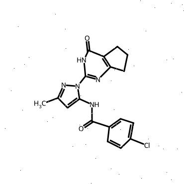 Cc1cc(NC(=O)c2ccc(Cl)cc2)n(-c2nc3c(c(=O)[nH]2)CCC3)n1